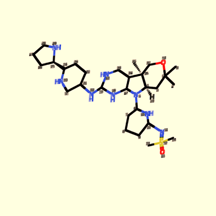 CC1(C)C[C@H]2N(C3CCCC(N=S(C)(C)=O)N3)C3NC(NC4CCC([C@H]5CCCN5)NC4)NCC3[C@@]2(C)CO1